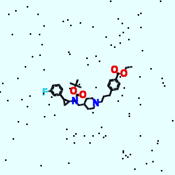 CCOC(=O)c1ccc(CCCN2CCC(CN(C(=O)OC(C)(C)C)C3CC3c3cccc(F)c3)CC2)cc1